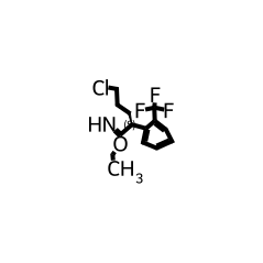 CCOC(=N)[C@@H](CCCCl)c1ccccc1C(F)(F)F